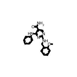 COc1ccccc1CNc1ncc(C(N)=O)c(Nc2ccccc2)n1